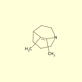 CC1=C(C)N2CCCC1CC2